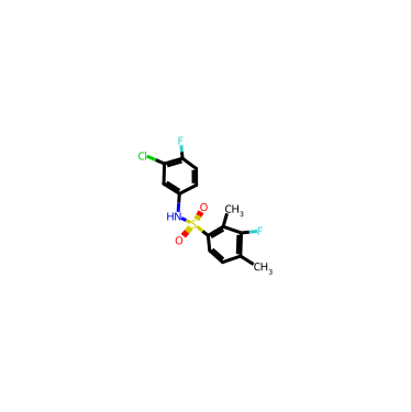 Cc1ccc(S(=O)(=O)Nc2ccc(F)c(Cl)c2)c(C)c1F